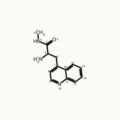 CNC(=O)C(N)Cc1ccnc2ccccc12